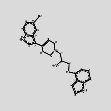 OC(COc1cccc2[nH]ccc12)CN1CC=C(c2c[nH]c3ccc(F)cc23)CC1